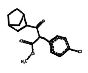 COC(=O)C(C(=O)C1CC2CCC1C2)c1ccc(Cl)cc1